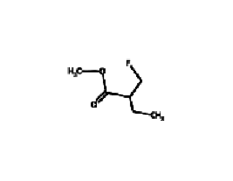 CCC(CF)C(=O)OC